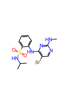 CNc1ncc(Br)c(Nc2ccccc2S(=O)(=O)NC(C)C)n1